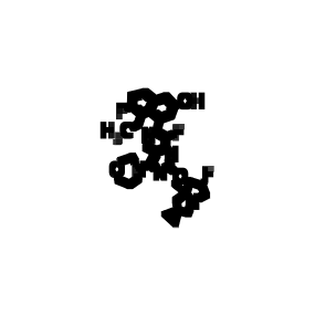 CCc1c(F)ccc2cc(O)cc(-c3ncc4c(N5CCCOCC5)nc(OC[C@@]56C[C@@H](F)CN5CC5(CC5)C6)nc4c3F)c12